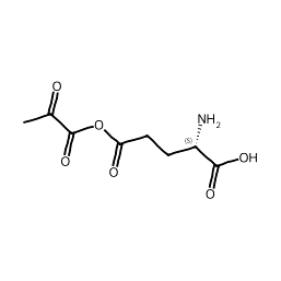 CC(=O)C(=O)OC(=O)CC[C@H](N)C(=O)O